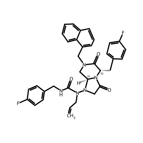 C=CCN(C(=O)NCc1ccc(F)cc1)N1CC(=O)N2[C@@H](Cc3ccc(F)cc3)C(=O)N(Cc3cccc4ccccc34)C[C@@H]21